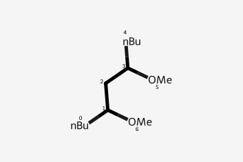 CCCCC(CC(CCCC)OC)OC